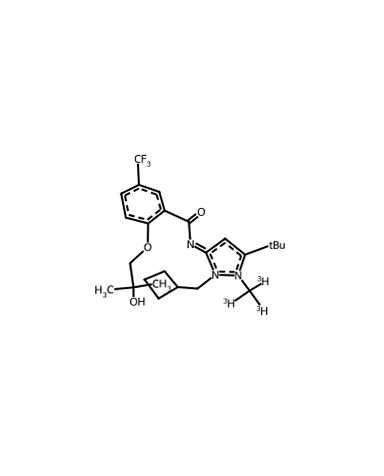 [3H]C([3H])([3H])n1c(C(C)(C)C)cc(=NC(=O)c2cc(C(F)(F)F)ccc2OCC(C)(C)O)n1CC1CCC1